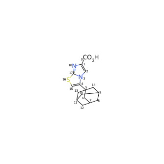 O=C(O)c1cn2c(C34CC5CC(CC(C5)C3)C4)csc2n1